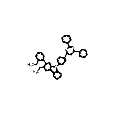 CCc1ccccc1-c1cc2c(cc1CC)c1ccccc1n2-c1ccc(-c2cc(-c3ccccc3)nc(-c3ccccc3)n2)cc1